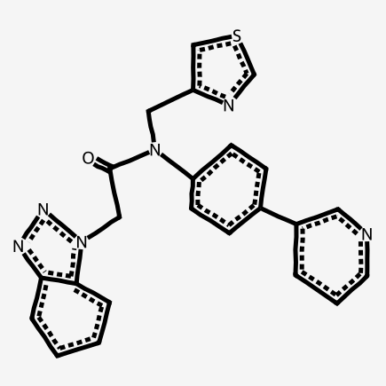 O=C(Cn1nnc2ccccc21)N(Cc1cscn1)c1ccc(-c2cccnc2)cc1